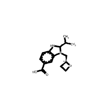 CC(C)C1Nc2ccc(C(=O)O)cc2N1C[C@@H]1CCO1